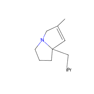 CC1=CC2(CC(C)C)CCCN2C1